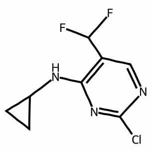 FC(F)c1cnc(Cl)nc1NC1CC1